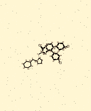 O=c1n(C[C@@H]2CCCN2CC2CCCCC2)nc2c(-c3ccc(Cl)cc3)c(-c3ccc(Cl)cc3)cnn12